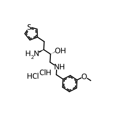 COc1cccc(CNC[C@@H](O)[C@@H](N)Cc2ccsc2)c1.Cl.Cl